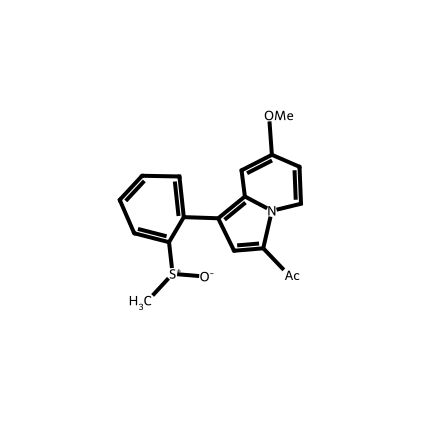 COc1ccn2c(C(C)=O)cc(-c3ccccc3[S+](C)[O-])c2c1